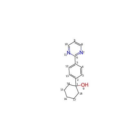 OC1(c2ccc(-c3ncccn3)cc2)CCCCC1